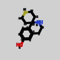 Oc1ccc2c(c1)CCNC21CCSCC1